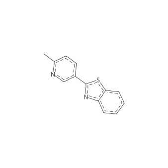 Cc1ccc(-c2nc3ccccc3s2)cn1